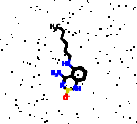 CCCCCCNc1cccc2c1C(N)=N[S+]([O-])N2